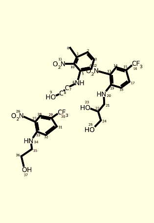 Cc1cccc(NCCO)c1[N+](=O)[O-].O=[N+]([O-])c1cc(C(F)(F)F)ccc1NCC(O)CO.O=[N+]([O-])c1cc(C(F)(F)F)ccc1NCCO